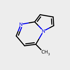 Cc1ccnc2cccn12